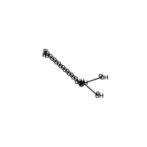 O=C(O)CCCCCCCCCCCCCCCCCC[C@H](CCCCCCCCCCCCCCCCCC(=O)O)COP(=O)(O)OCCNC(=O)CCOCCOCCOCCOCCOCCOCCOCCOCCOCCOCCOCCOCCOCCC(=O)Oc1c(F)c(F)cc(F)c1F